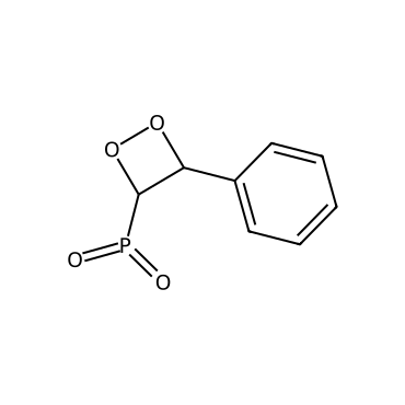 O=P(=O)C1OOC1c1ccccc1